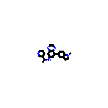 CC(Nc1cc(-c2ccc3c(ccn3C)c2)c2nccnc2c1)c1cccnc1